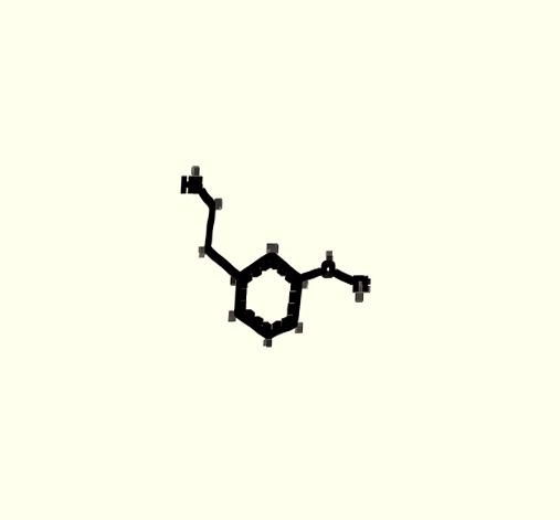 CCOc1cccc(CCS)c1